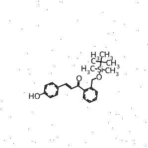 CC(C)(C)[Si](C)(C)OCc1ccccc1C(=O)/C=C/c1ccc(O)cc1